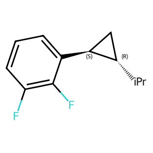 CC(C)[C@H]1C[C@@H]1c1cccc(F)c1F